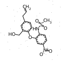 C=CCc1ccc(Oc2cc([N+](=O)[O-])ccc2NS(C)(=O)=O)c(CO)c1